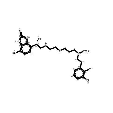 O=C(O)N(CCCSCCNC[C@@H](O)c1ccc(O)c2[nH]c(=O)sc12)CCc1cccc(Cl)c1Cl